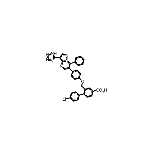 O=C(O)c1ccc(-c2ccc(Cl)cc2)c(COc2ccc(-c3cnc4c(-c5nnn[nH]5)cnn4c3-c3ccccc3)cc2)c1